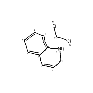 C1=Cc2ccccc2NC1.ClCCl